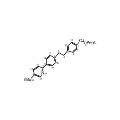 CCCCCOc1ccc(CCc2ccc(-c3ccc(CCCC)cn3)cc2)cc1